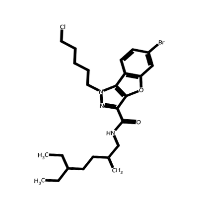 CCC(CC)CCC(C)CNC(=O)c1nn(CCCCCCl)c2c1oc1cc(Br)ccc12